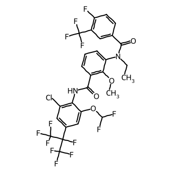 CCN(C(=O)c1ccc(F)c(C(F)(F)F)c1)c1cccc(C(=O)Nc2c(Cl)cc(C(F)(C(F)(F)F)C(F)(F)F)cc2OC(F)F)c1OC